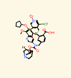 COc1ccc([C@H](Cc2c(Cl)c[n+]([O-])cc2Cl)c2cc(CN(C(=O)O[C@H]3CN4CCC3CC4)c3cccnc3)ccc2C(=O)O)cc1OC1CCCC1